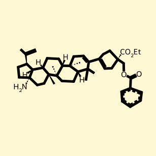 C=C(C)[C@@H]1CC[C@]2(N)CC[C@]3(C)[C@H](CC[C@@H]4[C@@]5(C)CC=C(C6=CC[C@@](COC(=O)c7ccccc7)(C(=O)OCC)CC6)C(C)(C)[C@@H]5CC[C@]43C)[C@@H]12